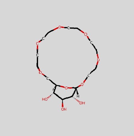 O[C@@H]1[C@@H](O)[C@H]2OCCOCCOCCOCCOCCOC[C@@H](O2)[C@H]1O